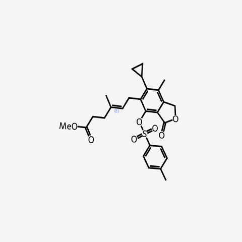 COC(=O)CC/C(C)=C/Cc1c(OS(=O)(=O)c2ccc(C)cc2)c2c(c(C)c1C1CC1)COC2=O